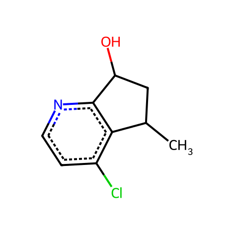 CC1CC(O)c2nccc(Cl)c21